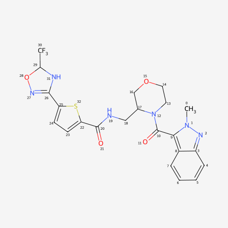 Cn1nc2ccccc2c1C(=O)N1CCOCC1CNC(=O)c1ccc(C2=NOC(C(F)(F)F)N2)s1